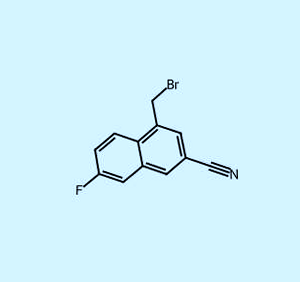 N#Cc1cc(CBr)c2ccc(F)cc2c1